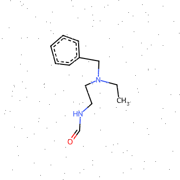 CCN(CCNC=O)Cc1ccccc1